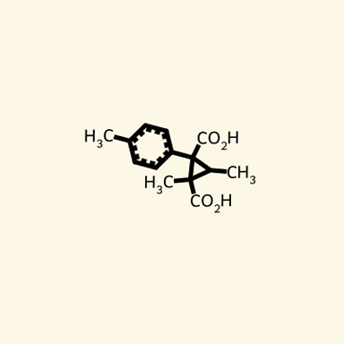 Cc1ccc(C2(C(=O)O)C(C)C2(C)C(=O)O)cc1